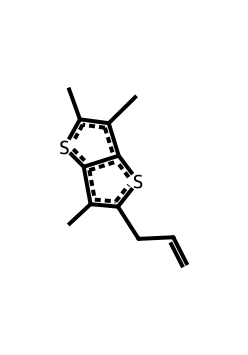 C=CCc1sc2c(C)c(C)sc2c1C